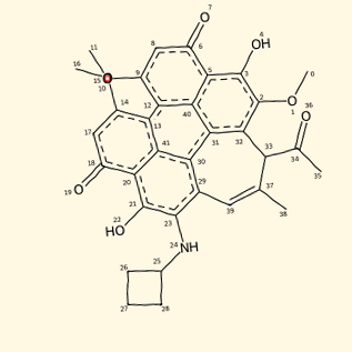 COc1c(O)c2c(=O)cc(OC)c3c4c(OC)cc(=O)c5c(O)c(NC6CCC6)c6c(c(c1C(C(C)=O)C(C)=C6)c23)c54